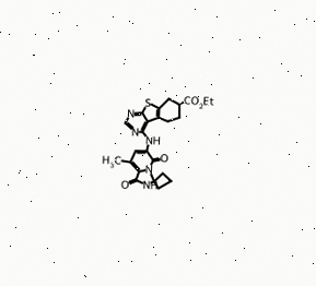 CCOC(=O)[C@H]1CCc2c(sc3ncnc(Nc4cc(C)c5n(c4=O)C4(CCC4)NC5=O)c23)C1